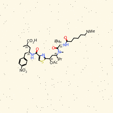 CC[C@H](C)[C@H](NC(=O)CCCCCNC)C(=O)N(C)[C@H](C[C@@H](OC(C)=O)c1nc(C(=O)N[C@@H](Cc2ccc([N+](=O)[O-])cc2)C[C@@H](C)C(=O)O)cs1)C(C)C